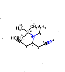 C#CCC(CC#N)N(CC)[Si](C)(C)C